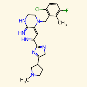 Cc1c(F)ccc(Cl)c1CN1CCNC(=N)/C1=C\C(=N)C1=NCC(C2CCN(C)C2)=N1